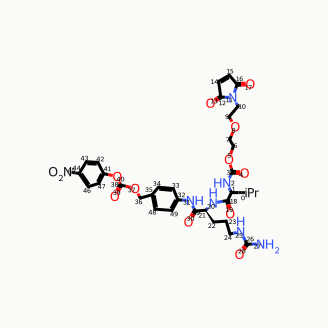 CC(C)C(NC(=O)OCCOCCN1C(=O)C=CC1=O)C(=O)N[C@@H](CCCNC(N)=O)C(=O)Nc1ccc(COC(=O)Oc2ccc([N+](=O)[O-])cc2)cc1